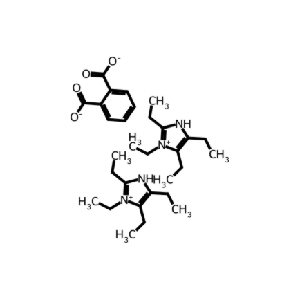 CCc1[nH]c(CC)[n+](CC)c1CC.CCc1[nH]c(CC)[n+](CC)c1CC.O=C([O-])c1ccccc1C(=O)[O-]